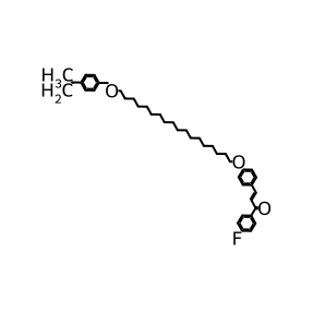 C=C(C)c1ccc(COCCCCCCCCCCCCCCCCCCOc2ccc(C=CC(=O)c3ccc(F)cc3)cc2)cc1